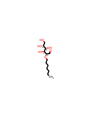 CCCCCCCO[C@H](C=O)[C@@H](O)[C@H](O)[C@H](O)CO